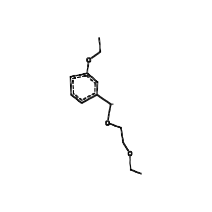 CCOCCO[CH]c1cccc(OCC)c1